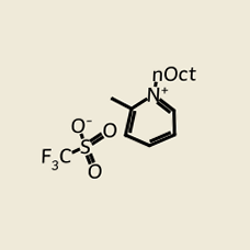 CCCCCCCC[n+]1ccccc1C.O=S(=O)([O-])C(F)(F)F